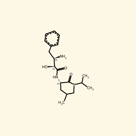 CC1C[C@H](NC(=O)[C@@H](O)[C@H](N)Cc2ccccc2)C(=O)N(C(C)C)C1